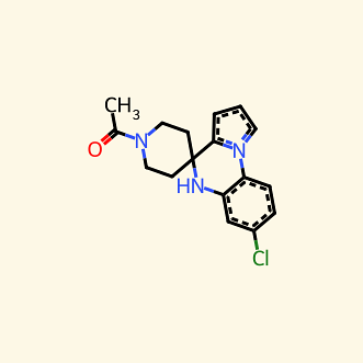 CC(=O)N1CCC2(CC1)Nc1cc(Cl)ccc1-n1cccc12